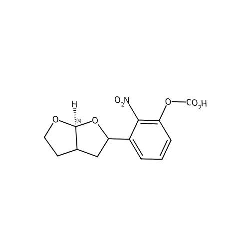 O=C(O)Oc1cccc(C2CC3CCO[C@H]3O2)c1[N+](=O)[O-]